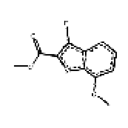 COC(=O)c1sc2c(OC)cccc2c1F